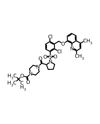 Cc1cc(C)c2cccc(OCc3c(Cl)ccc(S(=O)(=O)N4CCCC4C(=O)N4CCN(C(=O)OC(C)(C)C)CC4)c3Cl)c2n1